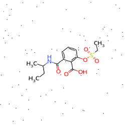 CCC(C)NC(=O)c1cccc(OS(=O)(=O)CC)c1C(=O)O